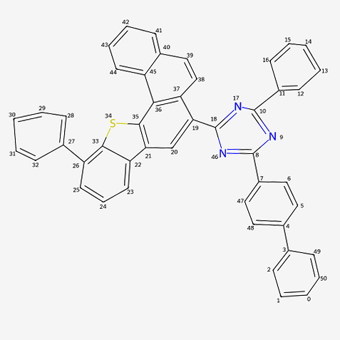 c1ccc(-c2ccc(-c3nc(-c4ccccc4)nc(-c4cc5c6cccc(-c7ccccc7)c6sc5c5c4ccc4ccccc45)n3)cc2)cc1